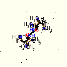 CC(C)C(CCC(C)C(CCC1CCC(C(=O)NCCCCCCNC(=O)C2CCC(CCC(SCCN(C)C)C(C)CCC(SCCN(C)C)C(C)C)C(SCCN(C)C)C2)CC1SCCN(C)C)SCCN(C)C)SCCN(C)C